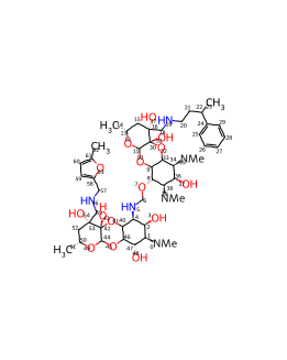 CN[C@@H]1[C@H](O)[C@H](NCO[C@@H]2C3OC4O[C@H](C)C[C@@](O)(CNCCC(C)c5ccccc5)[C@]4(O)OC3[C@@H](NC)[C@@H](O)[C@H]2NC)C2O[C@]3(O)C(OC2[C@H]1O)O[C@H](C)C[C@@]3(O)CNCc1ccc(C)o1